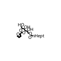 CCCCCCCC(=O)OCC(O)C1OC(c2ccco2)OC(CO)C1O